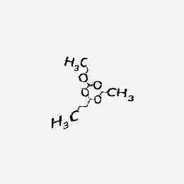 CCCC(OCC)OC(=O)OCC